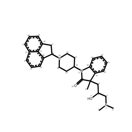 CN(C)CC(O)CC1(C)C(=O)N(C2CCN(C3Cc4cccc5cccc3c45)CC2)c2ccccc21